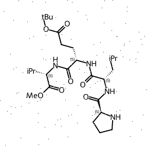 COC(=O)[C@@H](NC(=O)[C@H](CCC(=O)OC(C)(C)C)NC(=O)[C@H](CC(C)C)NC(=O)[C@@H]1CCCN1)C(C)C